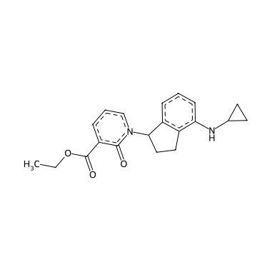 CCOC(=O)c1cccn(C2CCc3c(NC4CC4)cccc32)c1=O